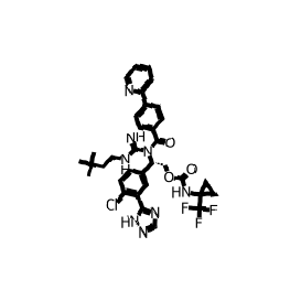 CC(C)(C)CCNC(=N)N(C(=O)c1ccc(-c2ccccn2)cc1)[C@H](COC(=O)NC1(C(F)(F)F)CC1)c1ccc(Cl)c(-c2ncn[nH]2)c1